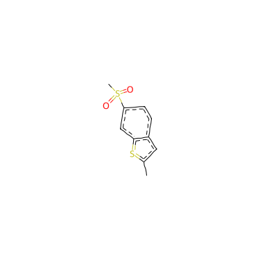 Cc1cc2ccc(S(C)(=O)=O)cc2s1